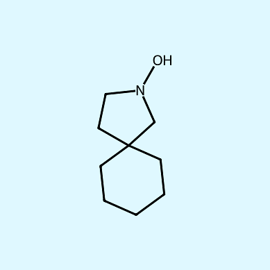 ON1CCC2(CCCCC2)C1